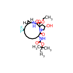 CCOC(=O)[C@@]12C[C@H](O)CN1C(=O)[C@@H](NC(=O)OC(C)(C)C)CCCCCC(F)(F)C[C@@H]1C[C@H]1NC2=O